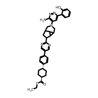 CCOC(=O)[C@H]1CC[C@H](c2ccc(-c3cnc(C4CC5CN(c6cc(-c7ccccc7O)nnc6N)CC6C5C46)nc3)cc2)CC1